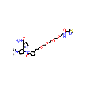 CCN(CC)c1ccc(NC(=O)c2cccc(CCCOCCOCCOCCOCCNC(=O)c3cscn3)c2)c(-c2cc(C(N)=O)ccn2)c1